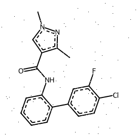 Cc1nn(C)cc1C(=O)Nc1ccccc1-c1ccc(Cl)c(F)c1